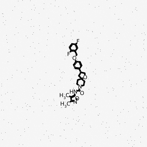 Cc1noc(NC(=O)N2CCC3(CC2)CC(c2ccc(OCc4cc(F)ccc4F)cc2)CO3)c1C